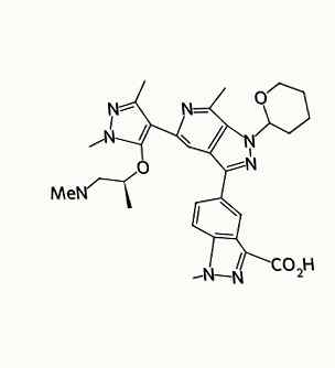 CNC[C@H](C)Oc1c(-c2cc3c(-c4ccc5c(c4)c(C(=O)O)nn5C)nn(C4CCCCO4)c3c(C)n2)c(C)nn1C